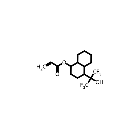 C=CC(=O)OC1CCC(C(O)(C(F)(F)F)C(F)(F)F)C2CCCCC12